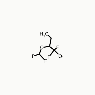 CCC(OC(F)F)C([O])(F)F